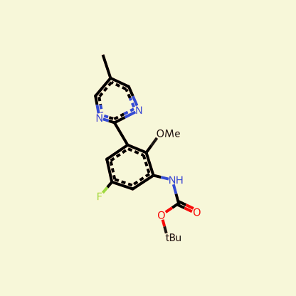 COc1c(NC(=O)OC(C)(C)C)cc(F)cc1-c1ncc(C)cn1